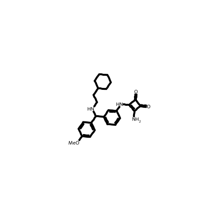 COc1ccc(C(NCCC2CCCCC2)c2cccc(Nc3c(N)c(=O)c3=O)c2)cc1